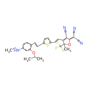 CCNc1ccc(/C=C/c2ccc(/C=C/C3=C(C#N)C(=C(C#N)C#N)OC3(C)C(F)(F)F)s2)c(OC(C)C)c1